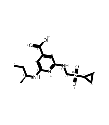 CC[C@H](C)Nc1cc(C(=O)O)cc(NCS(=O)(=O)C2CC2)n1